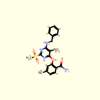 CS(=O)(=O)c1nc(NCc2ccccc2)c([N+](=O)[O-])c(Oc2cc(C#N)ccc2C(N)=O)n1